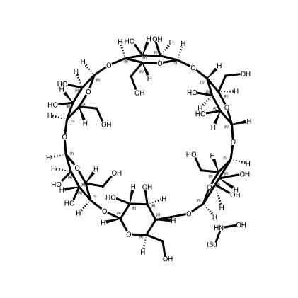 CC(C)(C)NO.OC[C@H]1O[C@@H]2O[C@H]3[C@H](O)[C@@H](O)[C@@H](O[C@H]4[C@H](O)[C@@H](O)[C@@H](O[C@H]5[C@H](O)[C@@H](O)[C@@H](O[C@H]6[C@H](O)[C@@H](O)[C@@H](O[C@H]7[C@H](O)[C@@H](O)[C@@H](O[C@H]1[C@H](O)[C@H]2O)O[C@@H]7CO)O[C@@H]6CO)O[C@@H]5CO)O[C@@H]4CO)O[C@@H]3CO